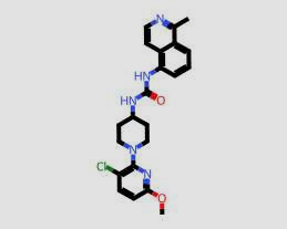 COc1ccc(Cl)c(N2CCC(NC(=O)Nc3cccc4c(C)nccc34)CC2)n1